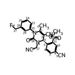 CC1=C(C#N)[C@@H](c2ccc(C#N)cc2S(C)(=O)=O)N(CC#N)C(=O)N1c1cccc(CF)c1